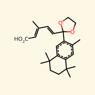 CC(C=CC1(c2cc3c(cc2C)C(C)(C)CCC3(C)C)OCCO1)=CC(=O)O